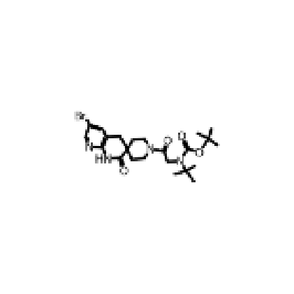 CC(C)(C)OC(=O)N(CC(=O)N1CCC2(CC1)Cc1cc(Br)cnc1NC2=O)C(C)(C)C